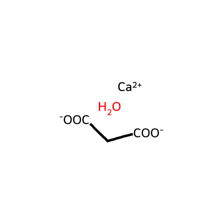 O.O=C([O-])CC(=O)[O-].[Ca+2]